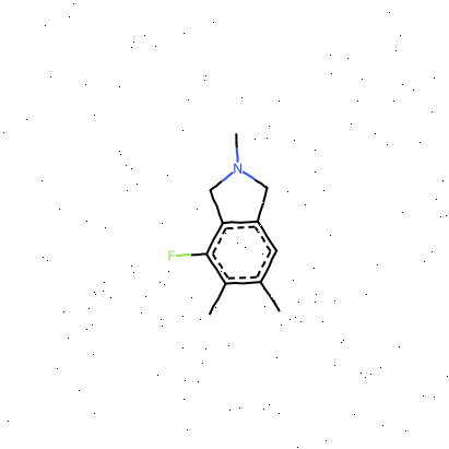 Cc1cc2c(c(F)c1C)CN(C)C2